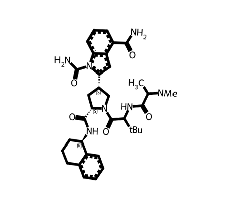 CNC(C)C(=O)NC(C(=O)N1C[C@@H](c2cc3c(C(N)=O)cccc3n2C(N)=O)C[C@H]1C(=O)N[C@@H]1CCCc2ccccc21)C(C)(C)C